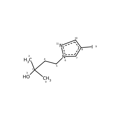 CC(C)(O)CCn1cc(I)cn1